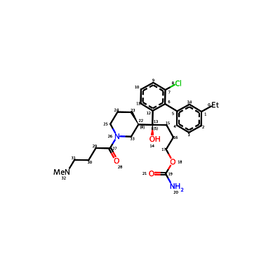 CCc1cccc(-c2c(Cl)cccc2[C@](O)(CCCOC(N)=O)[C@@H]2CCCN(C(=O)CCCNC)C2)c1